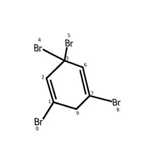 BrC1=CC(Br)(Br)C=C(Br)C1